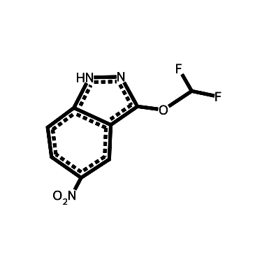 O=[N+]([O-])c1ccc2[nH]nc(OC(F)F)c2c1